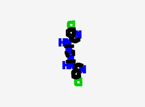 CC(C)(Nc1ccnc2cc(Cl)ccc12)N1CCN(C(C)(C)Nc2ccnc3cc(Cl)ccc23)CC1